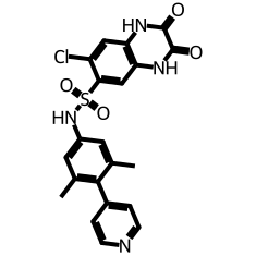 Cc1cc(NS(=O)(=O)c2cc3[nH]c(=O)c(=O)[nH]c3cc2Cl)cc(C)c1-c1ccncc1